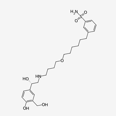 NS(=O)(=O)c1cccc(CCCCCCOCCCCNC[C@@H](O)c2ccc(O)c(CO)c2)c1